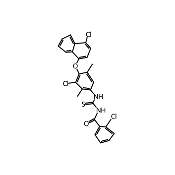 Cc1cc(NC(=S)NC(=O)c2ccccc2Cl)c(C)c(Cl)c1Oc1ccc(Cl)c2ccccc12